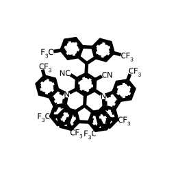 N#Cc1c(C2c3cc(C(F)(F)F)ccc3-c3ccc(C(F)(F)F)cc32)c(C#N)c(-n2c3cc(C(F)(F)F)ccc3c3ccc(C(F)(F)F)cc32)c(C2c3cc(C(F)(F)F)ccc3-c3ccc(C(F)(F)F)cc32)c1-n1c2cc(C(F)(F)F)ccc2c2ccc(C(F)(F)F)cc21